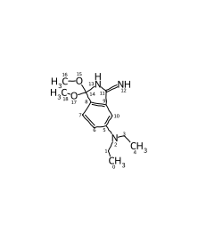 CCN(CC)c1ccc2c(c1)C(=N)NC2(OC)OC